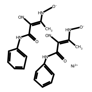 C/C(N[O-])=C(/N=O)C(=O)Nc1ccccc1.C/C(N[O-])=C(/N=O)C(=O)Nc1ccccc1.[Ni+2]